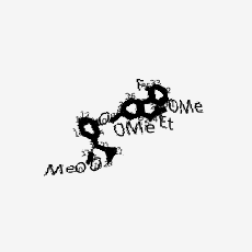 CCC(C)(C)[C@H](OC)c1cc(COc2cccc([C@@H](CC(=O)OC)C3CC3)c2)ccc1-c1cc(OC)ccc1F